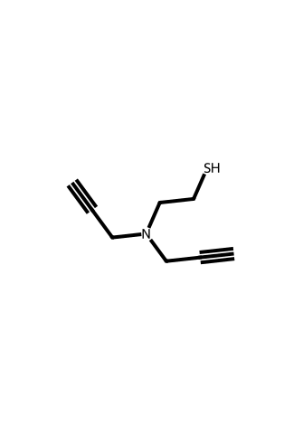 C#CCN(CC#C)CCS